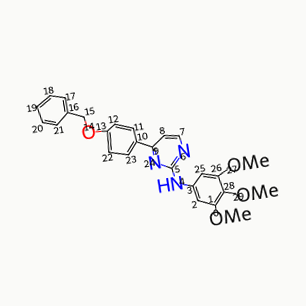 COc1cc(Nc2nccc(-c3ccc(OCc4ccccc4)cc3)n2)cc(OC)c1OC